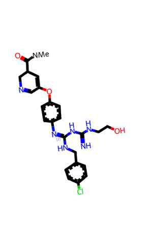 CNC(=O)C1C=C(Oc2ccc(/N=C(/NCc3ccc(Cl)cc3)NC(=N)NCCO)cc2)C=NC1